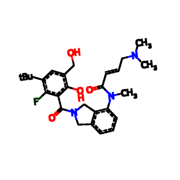 CN(C)C/C=C/C(=O)N(C)c1cccc2c1CN(C(=O)c1c(O)c(CO)cc(C(C)(C)C)c1F)C2